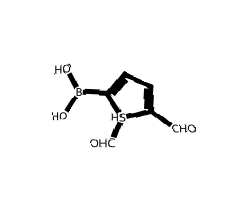 O=CC1=CC=C(B(O)O)[SH]1C=O